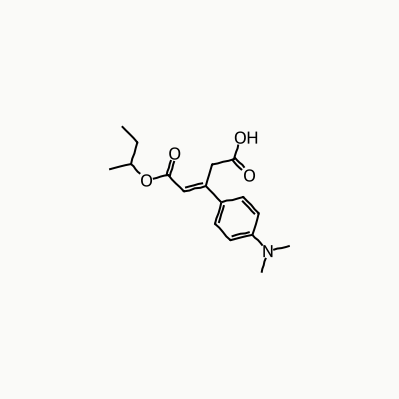 CCC(C)OC(=O)C=C(CC(=O)O)c1ccc(N(C)C)cc1